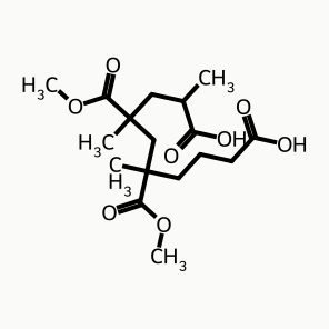 COC(=O)C(C)(CCCC(=O)O)CC(C)(CC(C)C(=O)O)C(=O)OC